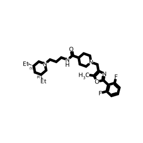 CC[C@@H]1C[C@H](CC)CN(CCCNC(=O)C2CCN(Cc3nc(-c4c(F)cccc4F)oc3C)CC2)C1